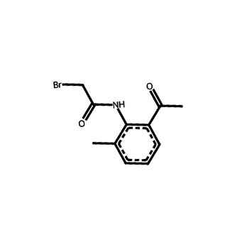 CC(=O)c1cccc(C)c1NC(=O)CBr